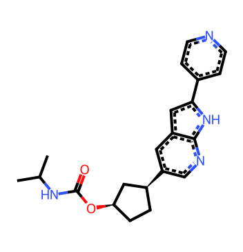 CC(C)NC(=O)O[C@@H]1CC[C@H](c2cnc3[nH]c(-c4ccncc4)cc3c2)C1